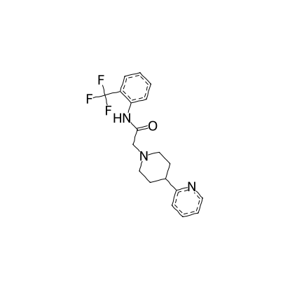 O=C(CN1CCC(c2ccccn2)CC1)Nc1ccccc1C(F)(F)F